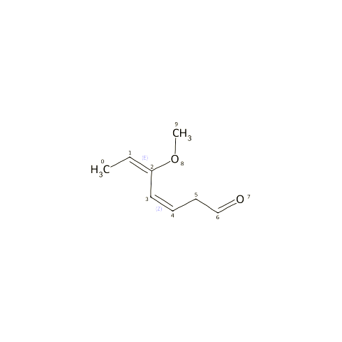 C/C=C(\C=C/CC=O)OC